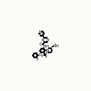 CNC[C@@H]1CCCN(c2c(NC(=O)c3cncc(-c4ccnnc4)n3)ccc(Oc3ccccc3F)c2C(F)(F)F)C1